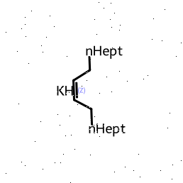 CCCCCCCC/C=C\CCCCCCCC.[KH]